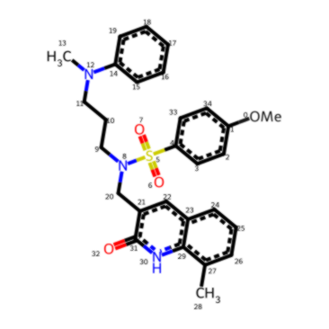 COc1ccc(S(=O)(=O)N(CCCN(C)c2ccccc2)Cc2cc3cccc(C)c3[nH]c2=O)cc1